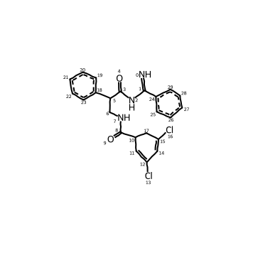 N=C(NC(=O)C(CNC(=O)C1C=C(Cl)C=C(Cl)C1)c1ccccc1)c1ccccc1